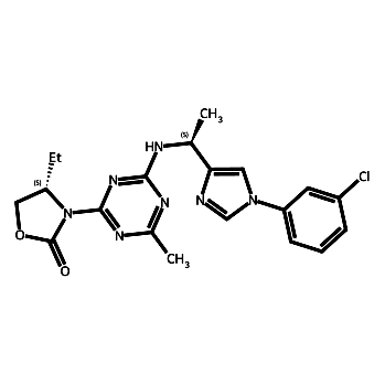 CC[C@H]1COC(=O)N1c1nc(C)nc(N[C@@H](C)c2cn(-c3cccc(Cl)c3)cn2)n1